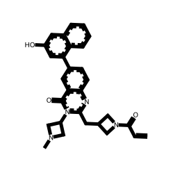 C=CC(=O)N1CC(Cc2nc3ccc(-c4cc(O)cc5ccccc45)cc3c(=O)n2C2CN(C)C2)C1